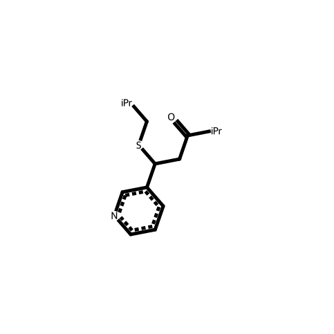 CC(C)CSC(CC(=O)C(C)C)c1cccnc1